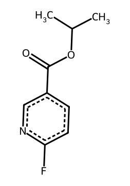 CC(C)OC(=O)c1ccc(F)nc1